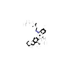 CCN(CC)C/C=C\c1cc(F)ccc1S(=O)(=O)Nc1ccc2c(c1C(=O)O)C[C@H]1CCCN21